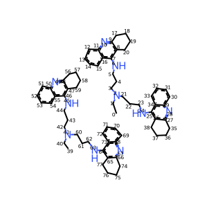 CCN(CCCNc1c2c(nc3ccccc13)CCCC2)CCCNc1c2c(nc3ccccc13)CCCC2.CCN(CCCNc1c2c(nc3ccccc13)CCCC2)CCCNc1c2c(nc3ccccc13)CCCC2